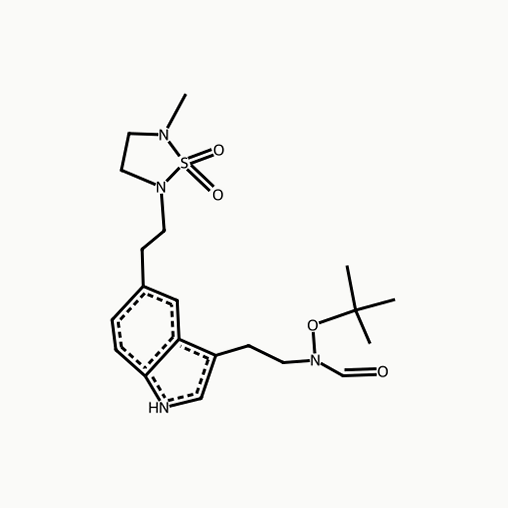 CN1CCN(CCc2ccc3[nH]cc(CCN(C=O)OC(C)(C)C)c3c2)S1(=O)=O